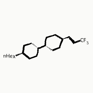 CCCCCC[C@H]1CC[C@H]([C@H]2CC[C@H](C=CC(F)(F)F)CC2)CC1